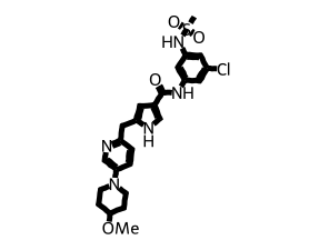 COC1CCN(c2ccc(Cc3cc(C(=O)Nc4cc(Cl)cc(NS(C)(=O)=O)c4)c[nH]3)nc2)CC1